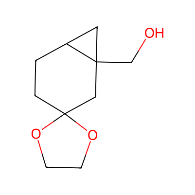 OCC12CC1CCC1(C2)OCCO1